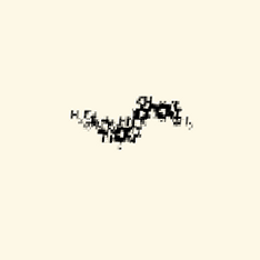 C=CC(=O)N1CCN(c2ccc3ncnc(Nc4ccc(Cc5ccc6c(c5)ncn6C)c(C)c4)c3c2)C(C)C1